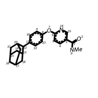 CNC(=O)c1ccc(Oc2ccc(C3C4CC5CC(C4)CC3C5)cc2)nc1